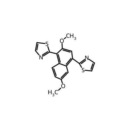 COc1ccc2c(-c3nccs3)c(OC)cc(-c3nccs3)c2c1